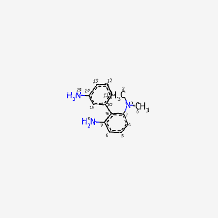 CN(C)c1cccc(N)c1-c1cccc(N)c1